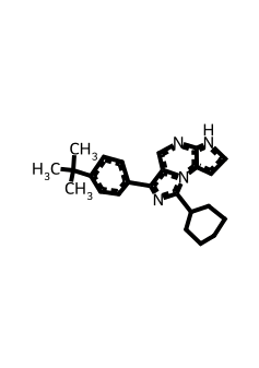 CC(C)(C)c1ccc(-c2nc(C3CCCCC3)n3c2cnc2[nH]ccc23)cc1